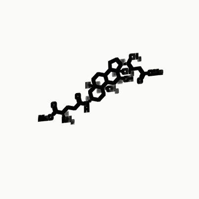 COC(=O)CCC(C)[C@H]1CCC2C3CC[C@@H]4C[C@@H](NC(=O)CC[C@H](N)C(=O)OC)CC[C@]4(C)C3C[C@H](O)[C@@]21C